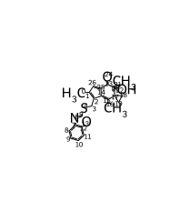 CC1=C(CSc2nc3ccccc3o2)C2=C(C)C3(CC3)[C@@](C)(O)C(=O)C2=C1